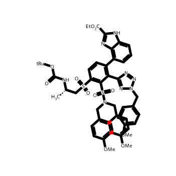 CCOC(=O)c1nc2c(-c3ccc(S(=O)(=O)C[C@H](C)NC(=O)OC(C)(C)C)c(S(=O)(=O)N(Cc4ccc(OC)cc4)Cc4ccc(OC)cc4)c3-c3nnn(Cc4ccc(OC)cc4)n3)cccc2[nH]1